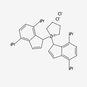 CC(C)c1ccc(C(C)C)c2c1C=C[CH]2[Zr+2]1([CH]2C=Cc3c(C(C)C)ccc(C(C)C)c32)[CH2]CC[CH2]1.[Cl-].[Cl-]